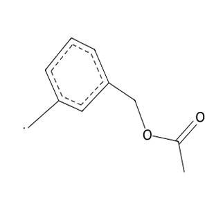 [CH2]c1cccc(COC(C)=O)c1